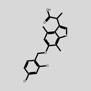 Cc1c(OCc2ccc(Cl)cc2Cl)cc(C)c2c(C(C)C(=O)O)csc12